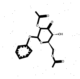 CC(=O)OC[C@H]1OC(Oc2ccccc2)[C@H](OC(C)=O)C(=O)[C@@H]1O